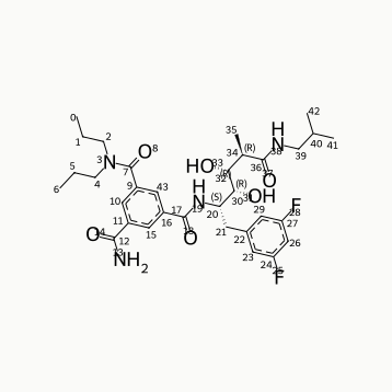 CCCN(CCC)C(=O)c1cc(C(N)=O)cc(C(=O)N[C@@H](Cc2cc(F)cc(F)c2)[C@@H](O)[C@H](O)[C@@H](C)C(=O)NCC(C)C)c1